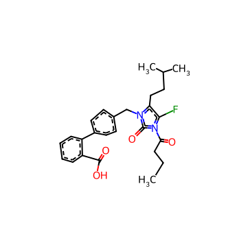 CCCC(=O)n1c(F)c(CCC(C)C)n(Cc2ccc(-c3ccccc3C(=O)O)cc2)c1=O